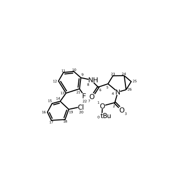 CC(C)(C)OC(=O)N1C(C(=O)Nc2cccc(-c3ccccc3Cl)c2F)CC2CC21